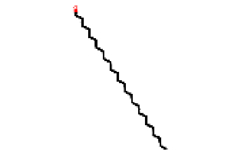 CCCCCCCCCCCCCCCCCCCCCCCCCC=O